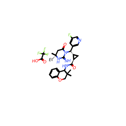 CC[C@]1(C)CC(=O)N(C(c2cncc(F)c2)[C@@H]2C[C@H]2C(=O)NC2c3ccccc3OCC2(C)C)C(=N)N1.O=C(O)C(F)(F)F